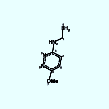 BCNc1ccc(OC)nn1